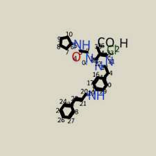 CN(CC(=O)NC1CCCC1)c1nc(Cc2ccc(NC/C=C/c3ccccc3)cc2)nc(Cl)c1CC(=O)O